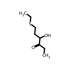 CCSCCC(O)C(=O)CC